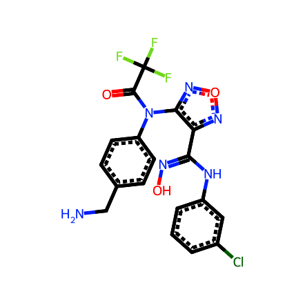 NCc1ccc(N(C(=O)C(F)(F)F)c2nonc2C(=NO)Nc2cccc(Cl)c2)cc1